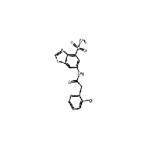 NS(=O)(=O)c1cc(NC(=O)Cc2ccccc2Cl)cc2scnc12